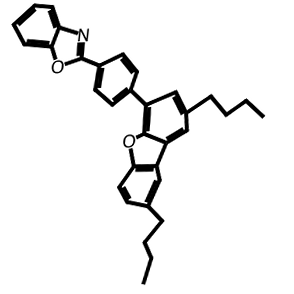 CCCCc1ccc2oc3c(-c4ccc(-c5nc6ccccc6o5)cc4)cc(CCCC)cc3c2c1